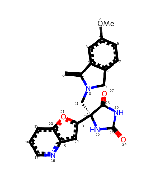 C=C1c2cc(OC)ccc2CN1C[C@@]1(c2cc3ncccc3o2)NC(=O)NC1=O